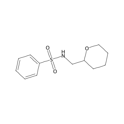 O=S(=O)(NCC1CCCCO1)c1ccccc1